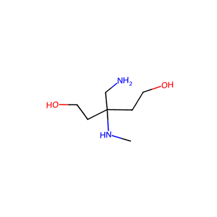 CNC(CN)(CCO)CCO